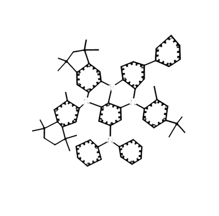 Cc1cc(C(C)(C)C)ccc1N1c2cc(-c3ccccc3)ccc2B2c3cc4c(cc3N(c3cc5c(cc3C)C(C)(C)CCC5(C)C)c3cc(N(c5ccccc5)c5ccccc5)cc1c32)C(C)(C)CC4(C)C